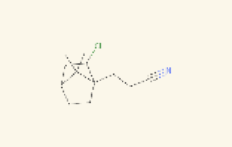 CC1(C)C2CCC1(CCC#N)C(Cl)C2